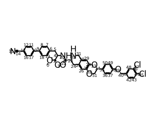 COC(=O)C(Cc1ccc(-c2ccc(C#N)cc2)cc1)NC(=O)[C@@H]1Cc2cc3c(cc2CN1)O[C@@H](c1ccc(OCc2ccc(Cl)c(Cl)c2)cc1)CO3